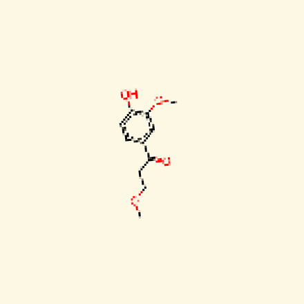 COCCC(=O)c1ccc(O)c(OC)c1